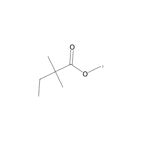 [CH]OC(=O)C(C)(C)CC